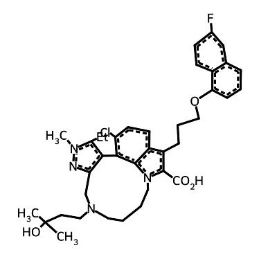 CCc1c2c(nn1C)CN(CCC(C)(C)O)CCCCn1c(C(=O)O)c(CCCOc3cccc4cc(F)ccc34)c3ccc(Cl)c-2c31